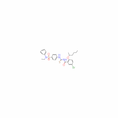 CCCCC(C)Oc1ccc(Br)cc1C(=O)NC(=S)Nc1ccc(S(=O)(=O)N(CC)c2ccccc2)cc1